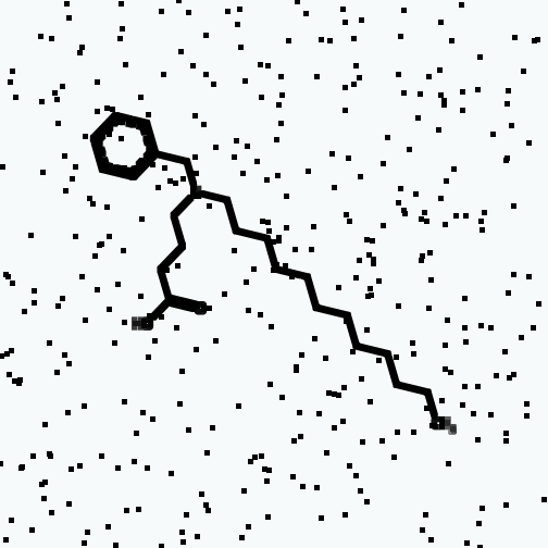 CCCCCCCCCCCCN(CCCC(=O)O)Cc1ccccc1